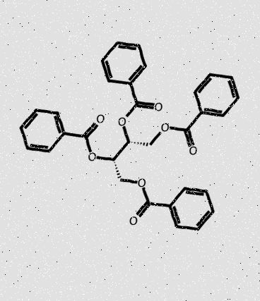 O=C(OC[C@H](OC(=O)c1ccccc1)[C@@H](COC(=O)c1ccccc1)OC(=O)c1ccccc1)c1ccccc1